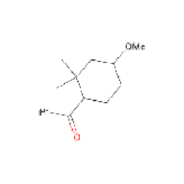 COC1CCC(C(=O)C(C)C)C(C)(C)C1